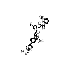 CC(=O)c1nn(CC(=O)N2C[C@H](F)C[C@H]2CC(=O)Nc2cccc(Br)n2)c2ccc(-c3cnc(C)nc3)cc12